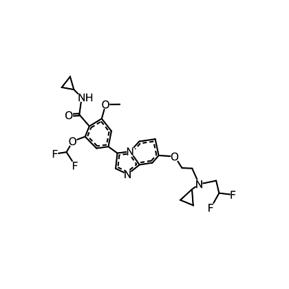 COc1cc(-c2cnc3cc(OCCN(CC(F)F)C4CC4)ccn23)cc(OC(F)F)c1C(=O)NC1CC1